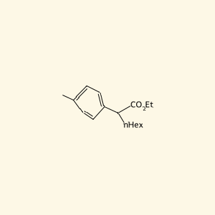 CCCCCCC(C(=O)OCC)c1ccc(C)cc1